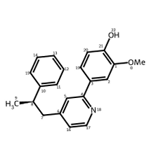 COc1cc(-c2cc(C[C@@H](C)c3ccccc3)ccn2)ccc1O